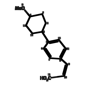 COC1CCC(c2ccc(/C=C\C(=O)O)cc2)CC1